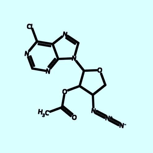 CC(=O)OC1C(N=[N+]=[N-])COC1n1cnc2c(Cl)ncnc21